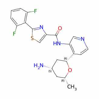 C[C@@H]1C[C@H](N)C[C@H](c2ccncc2NC(=O)c2csc(-c3c(F)cccc3F)n2)O1